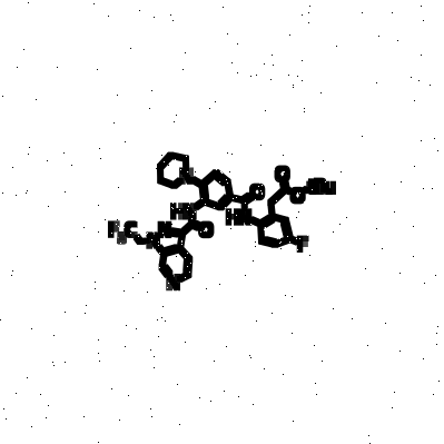 CC(C)(C)OC(=O)Cc1cc(F)ccc1NC(=O)c1ccc(N2CCCCC2)c(NC(=O)c2nn(CC(F)(F)F)c3cnccc23)c1